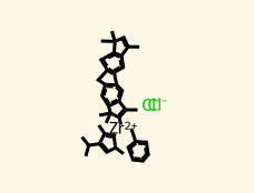 CC1=CC(C)(C)c2cc3c(cc21)-c1cc2c(cc1C3)C(C)(C)[C]([Zr+2](=[CH]c1ccccc1)[C]1=C(C)C(C(C)C)=CC1C)=C2C.[Cl-].[Cl-]